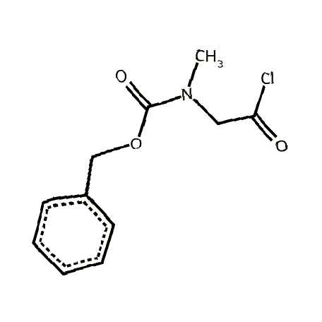 CN(CC(=O)Cl)C(=O)OCc1ccccc1